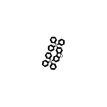 c1ccc([Si](c2ccccc2)(c2ccccc2)c2ccc3oc4ccc(S(c5ccccc5)(c5ccccc5)c5ccccc5)cc4c3c2)cc1